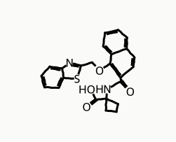 O=C(NC1(C(=O)O)CCC1)c1ccc2ccccc2c1OCc1nc2ccccc2s1